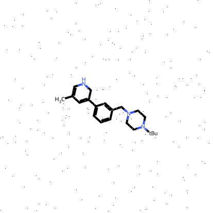 CC1=CNCC(c2cccc(CN3CCN(C(C)(C)C)CC3)c2)=C1